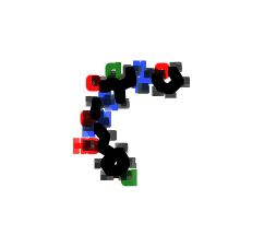 O=c1c(Cl)c(-c2cnn(C3CCCCO3)n2)cnn1Cc1nc(CC(O)c2ccc(Cl)cc2)no1